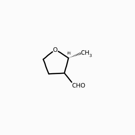 C[C@H]1OCCC1C=O